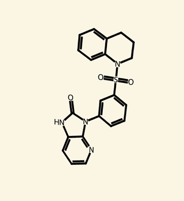 O=c1[nH]c2cccnc2n1-c1cccc(S(=O)(=O)N2CCCc3ccccc32)c1